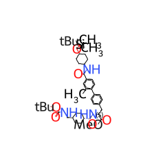 COC(=O)[C@H](Cc1ccc(-c2ccc(C(=O)N[C@H]3CC[C@H](O[Si](C)(C)C(C)(C)C)CC3)cc2C)cc1)NC(=O)[C@H]1CC[C@H](CNC(=O)OC(C)(C)C)CC1